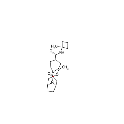 CCOC(=O)N1C2CCC1CC(N1CCC(C(=O)NC3(C)CCC3)CC1)C2